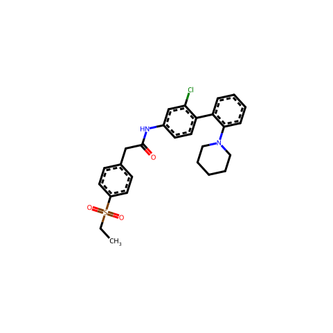 CCS(=O)(=O)c1ccc(CC(=O)Nc2ccc(-c3ccccc3N3CCCCC3)c(Cl)c2)cc1